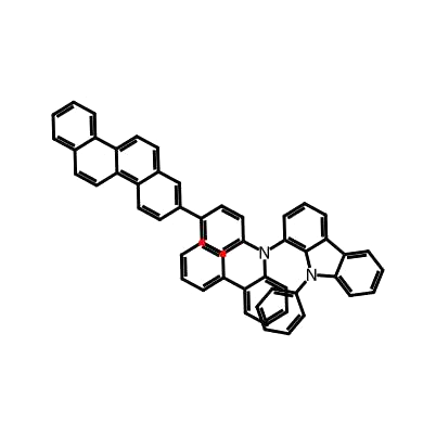 c1ccc(-c2ccccc2N(c2ccc(-c3ccc4c(ccc5c6ccccc6ccc45)c3)cc2)c2cccc3c4ccccc4n(-c4ccccc4)c23)cc1